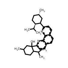 CC1CCC(C(C)C)C(O)(c2ccc3ccc4ccc(C5C[C@@H](C)CC[C@@H]5C(C)C)nc4c3n2)C1